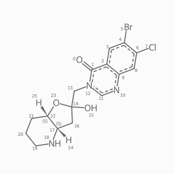 O=c1c2cc(Br)c(Cl)cc2ncn1CC1(O)C[C@@H]2NCCC[C@@H]2O1